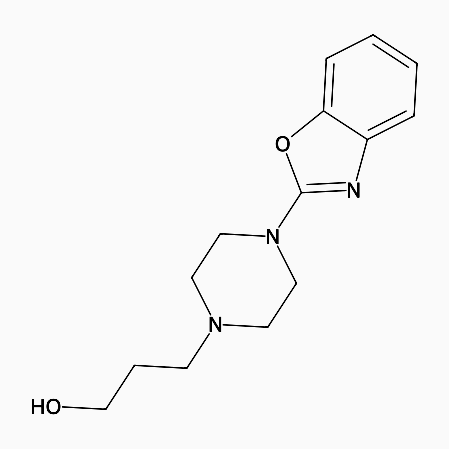 OCCCN1CCN(c2nc3ccccc3o2)CC1